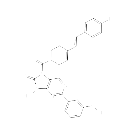 COc1cccc(-c2ncc3c(n2)n(C)c(=O)n3C(=O)N2CC=C(/C=C/c3ccc(F)cc3)CC2)c1